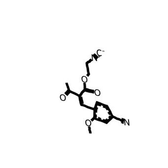 [C-]#[N+]CCOC(=O)C(=Cc1ccc(C#N)cc1OC)C(C)=O